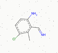 Cc1c(Cl)ccc(N)c1C=N